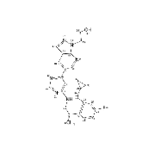 CC(CNc1cc(-c2cnc3c(cnn3CCO)c2)ncn1)c1ccc(F)cc1OC1CC1